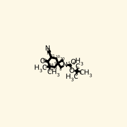 CC(C)(C)OC(=O)N1CC2(CC(C#N)C(=O)C(C)(C)C2)C1